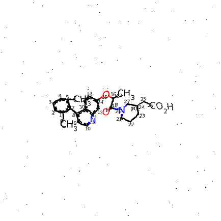 Cc1cccc(C)c1-c1ccnc2cc(OC(C)C(=O)N3CCC[C@H](CC(=O)O)C3)ccc12